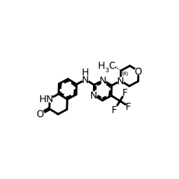 C[C@@H]1COCCN1c1nc(Nc2ccc3c(c2)CCC(=O)N3)ncc1C(F)(F)F